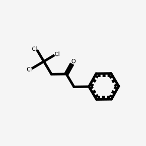 O=C(Cc1ccccc1)CC(Cl)(Cl)Cl